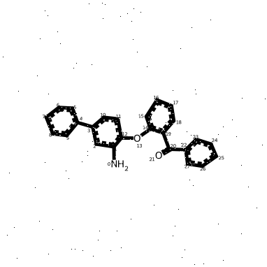 Nc1cc(-c2ccccc2)ccc1Oc1ccccc1C(=O)c1ccccc1